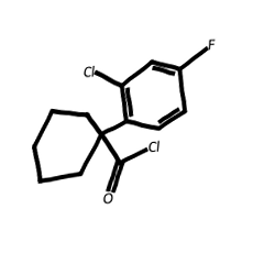 O=C(Cl)C1(c2ccc(F)cc2Cl)CCCCC1